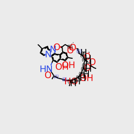 CO[C@H]1/C=C/O[C@]2(C)CC(=O)c3c(c(C)c(O)c4c(O)c(c5c(nc6cc(C)ccn65)c34)NC(=O)/C(C)=C\C=C\[C@H](C)[C@H](O)[C@@H](C)[C@@H](O)[C@@H](C)[C@H](OC(C)=O)[C@@H]1C)O2